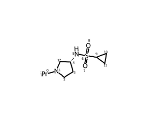 CC(C)N1CC[C@@H](NS(=O)(=O)C2CC2)C1